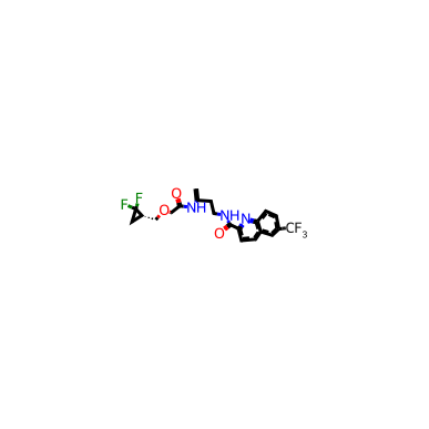 C=C(CCNC(=O)c1ccc2cc(C(F)(F)F)ccc2n1)NC(=O)COC[C@@H]1CC1(F)F